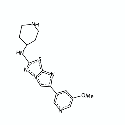 COc1cncc(-c2cn3nc(NC4CCNCC4)sc3n2)c1